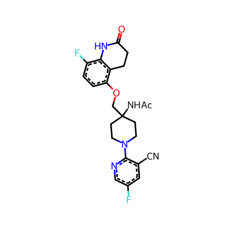 CC(=O)NC1(COc2ccc(F)c3c2CCC(=O)N3)CCN(c2ncc(F)cc2C#N)CC1